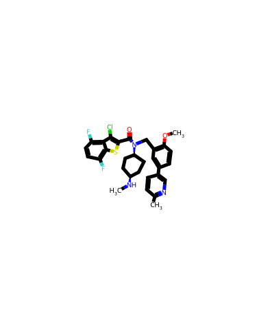 CN[C@H]1CC[C@@H](N(Cc2cc(-c3ccc(C)nc3)ccc2OC)C(=O)c2sc3c(F)ccc(F)c3c2Cl)CC1